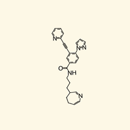 O=C(NCCCC1C=NC=CCC1)c1ccc(-n2cccn2)c(C#Cc2ccccn2)c1